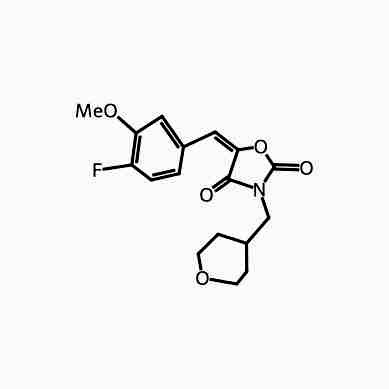 COc1cc(C=C2OC(=O)N(CC3CCOCC3)C2=O)ccc1F